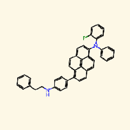 Fc1ccccc1N(c1ccccc1)c1ccc2ccc3c(-c4ccc(NCCc5ccccc5)cc4)ccc4ccc1c2c43